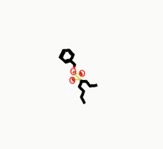 CCCCC(CCC)S(=O)(=O)OCc1ccccc1